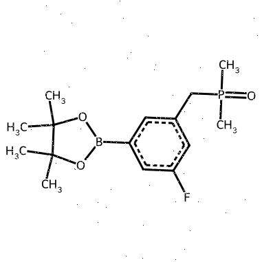 CC1(C)OB(c2cc(F)cc(CP(C)(C)=O)c2)OC1(C)C